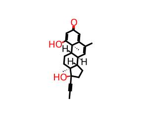 CC#C[C@@]1(O)CC[C@H]2[C@@H]3C=C(C)C4=CC(=O)C=C(O)[C@]4(C)[C@H]3CC[C@@]21C